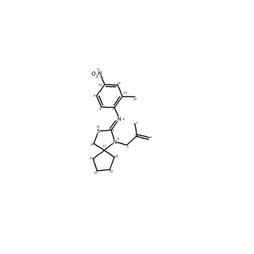 C=C(C)CN1C(=Nc2ccc([N+](=O)[O-])cc2C)SCC12CCCC2